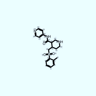 Cc1ccccc1S(=O)(=O)CC1CCNCC1C(=O)Nc1ccncc1